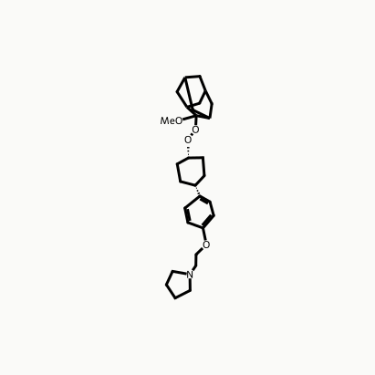 COC1(OO[C@H]2CC[C@@H](c3ccc(OCCN4CCCC4)cc3)CC2)C2CC3CC(C2)CC1C3